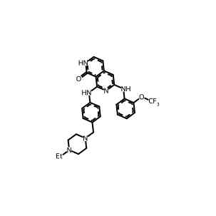 CCN1CCN(Cc2ccc(Nc3nc(Nc4ccccc4OC(F)(F)F)cc4cc[nH]c(=O)c34)cc2)CC1